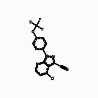 N#Cc1nn(-c2ccc(OC(F)(F)F)cc2)c2nccc(Cl)c12